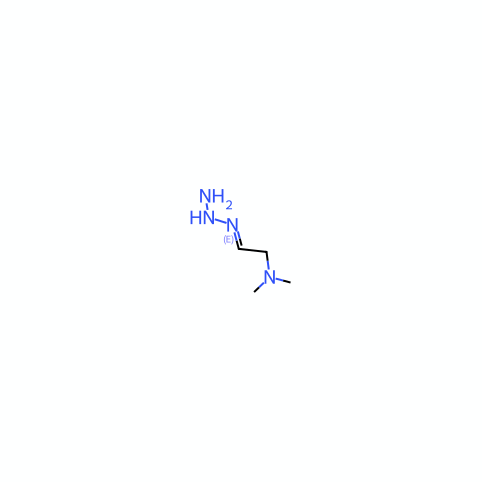 CN(C)C/C=N/NN